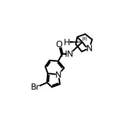 O=C(N[C@H]1CN2CCC1CC2)c1ccc2c(Br)ccn2c1